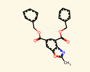 Cc1nc2c(C(=O)OCc3ccccc3)cc(C(=O)OCc3ccccc3)cc2o1